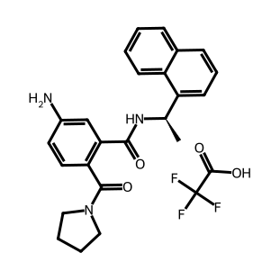 C[C@@H](NC(=O)c1cc(N)ccc1C(=O)N1CCCC1)c1cccc2ccccc12.O=C(O)C(F)(F)F